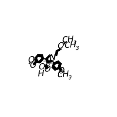 COc1ccc([C@@H]2[C@@H](C(=O)O)[C@@H](c3ccc4c(c3)OCO4)CN2CCCOC(C)C)cc1